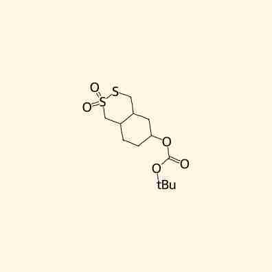 CC(C)(C)OC(=O)OC1CCC2CS(=O)(=O)SCC2C1